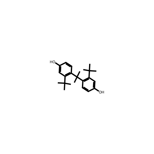 CC(C)(C)c1cc(O)ccc1C(C)(C)c1ccc(O)cc1C(C)(C)C